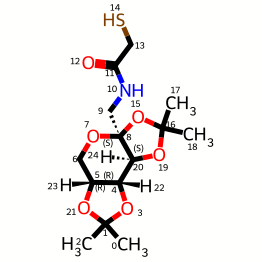 CC1(C)O[C@@H]2[C@@H](CO[C@@]3(CNC(=O)CS)OC(C)(C)O[C@@H]23)O1